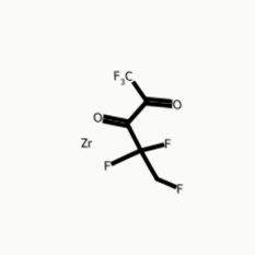 O=C(C(=O)C(F)(F)CF)C(F)(F)F.[Zr]